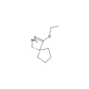 CCOC(=O)C1(CN)CCCC1